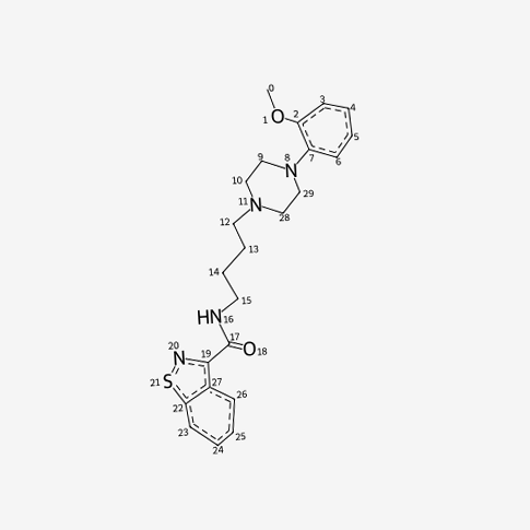 COc1ccccc1N1CCN(CCCCNC(=O)c2nsc3ccccc23)CC1